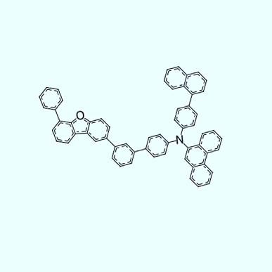 c1ccc(-c2cccc3c2oc2ccc(-c4cccc(-c5ccc(N(c6ccc(-c7cccc8ccccc78)cc6)c6cc7ccccc7c7ccccc67)cc5)c4)cc23)cc1